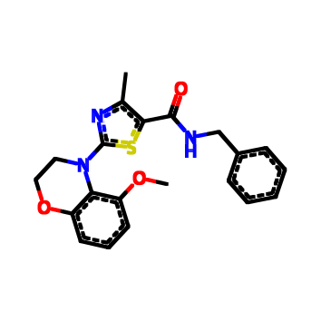 COc1cccc2c1N(c1nc(C)c(C(=O)NCc3ccccc3)s1)CCO2